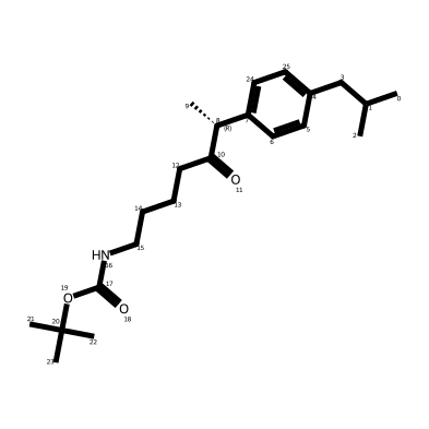 CC(C)Cc1ccc([C@@H](C)C(=O)CCCCNC(=O)OC(C)(C)C)cc1